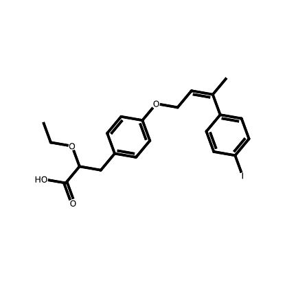 CCOC(Cc1ccc(OC/C=C(/C)c2ccc(I)cc2)cc1)C(=O)O